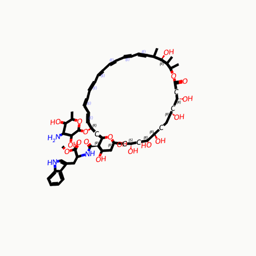 COC(=O)C(Cc1c[nH]c2ccccc12)NC(=O)[C@@H]1C(O)C[C@@]2(O)C[C@@H](O)C[C@@H](O)[C@H](O)CC[C@@H](O)C[C@@H](O)CC(=O)OC(C)C(C)[C@H](O)C(C)/C=C/C=C/C=C/C=C/C=C/C=C/C=C/[C@H](OC3OC(C)C(O)C(N)C3O)CC1O2